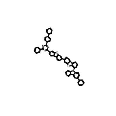 c1ccc(-c2ccc(-c3nc(-c4ccccc4)nc(-c4ccc5c(c4)oc4cc(-c6ccc7c(c6)oc6c(-n8c9ccccc9c9cc(-c%10ccccc%10)ccc98)cccc67)ccc45)n3)cc2)cc1